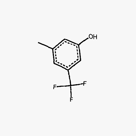 Cc1cc(O)cc(C(F)(F)F)c1